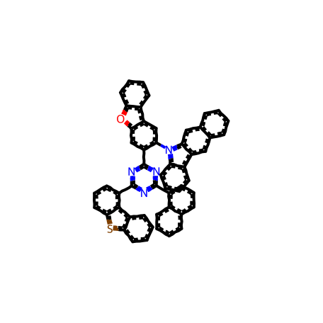 c1ccc2cc3c(cc2c1)c1ccccc1n3-c1cc2c(cc1-c1nc(-c3cccc4ccccc34)nc(-c3cccc4sc5ccccc5c34)n1)oc1ccccc12